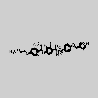 CC[C@@H](Oc1ccc(C(=O)NS(=O)(=O)c2ccc(OCc3c[nH]cn3)cc2)c(F)c1F)c1ccc(OCCOC)cn1